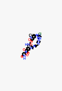 CCn1c(=O)c(OCC(=O)NC)cc2cc(Nc3nc(N4CCN(CC5CN(C6CN(c7ccc8c(c7)C(=O)N(C7CCC(=O)NC7=O)C8=O)C6)C5)CC4)ncc3Cl)ccc21